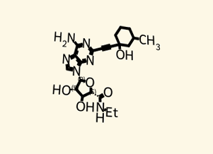 CCNC(=O)[C@H]1O[C@@H](n2cnc3c(N)nc(C#CC4(O)CCCC(C)C4)nc32)[C@@H](O)C1O